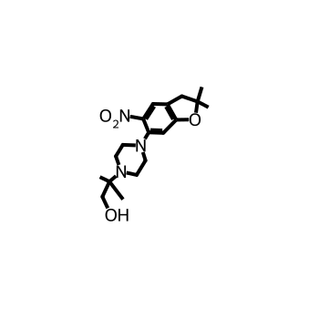 CC1(C)Cc2cc([N+](=O)[O-])c(N3CCN(C(C)(C)CO)CC3)cc2O1